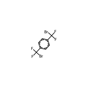 FC(F)(Br)c1ccc(C(F)(F)Br)cc1